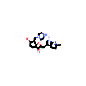 Cc1ccc2c(/C=C3\Oc4c(ccc(O)c4CN4CCNCC4)C3=O)c[nH]c2n1